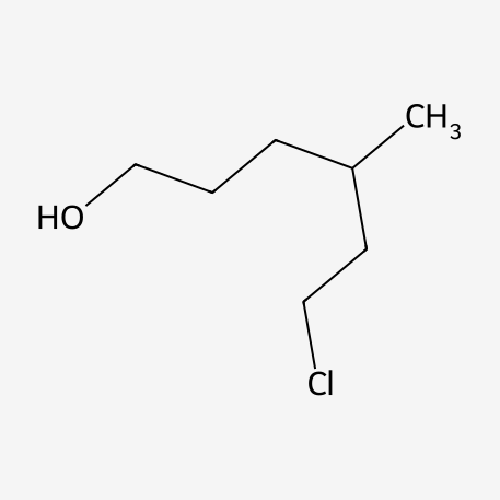 CC(CCCl)CCCO